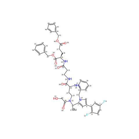 CC(C)(C)C(c1cc(-c2cc(F)ccc2F)cn1Cc1ccccc1)N(CCC(N)C(=O)NCCC(=O)N[C@H](CCC(=O)OCc1ccccc1)C(=O)OCc1ccccc1)C(=O)CO